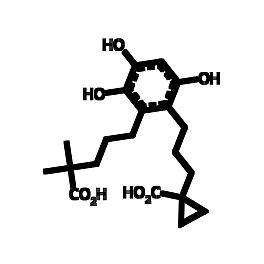 CC(C)(CCCc1c(O)c(O)cc(O)c1CCCC1(C(=O)O)CC1)C(=O)O